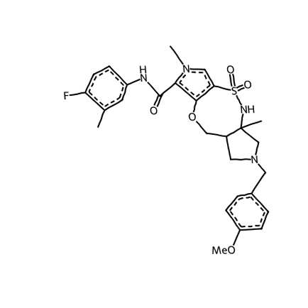 COc1ccc(CN2CC3COc4c(cn(C)c4C(=O)Nc4ccc(F)c(C)c4)S(=O)(=O)NC3(C)C2)cc1